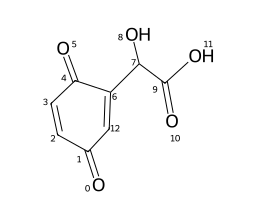 O=C1C=CC(=O)C(C(O)C(=O)O)=C1